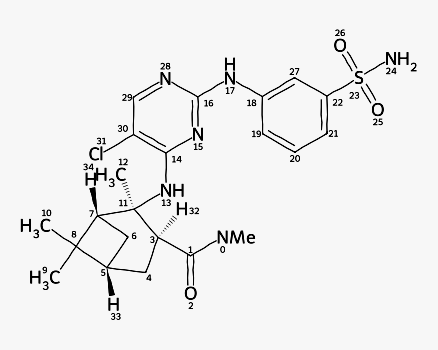 CNC(=O)[C@H]1C[C@H]2C[C@H](C2(C)C)[C@@]1(C)Nc1nc(Nc2cccc(S(N)(=O)=O)c2)ncc1Cl